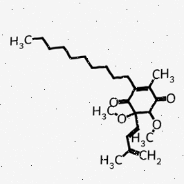 C=C(C)C=CC1(OC)C(=O)C(CCCCCCCCCC)=C(C)C(=O)C1OC